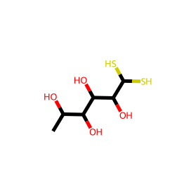 CC(O)C(O)C(O)C(O)C(S)S